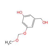 COCOc1cc(O)cc(CO)c1